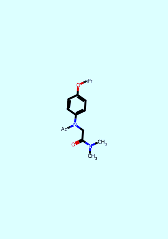 CC(=O)N(CC(=O)N(C)C)c1ccc(OC(C)C)cc1